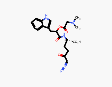 CN(C)CC(=O)OC(Cc1c[nH]c2ccccc12)C(=O)N[C@@H](CCC(=O)C=[N+]=[N-])C(=O)O